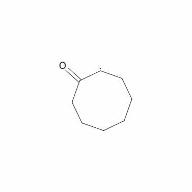 O=C1[CH]CCCCCC1